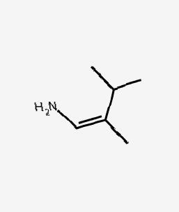 CC(=CN)C(C)C